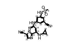 CS(=O)(=O)Nc1cc(C#N)cc(Nc2cc(NC3CC3)c3ncc(C#N)n3n2)c1